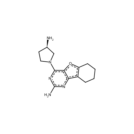 Nc1nc(N2CC[C@@H](N)C2)c2oc3c(c2n1)CCCC3